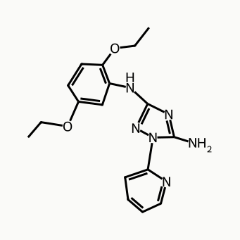 CCOc1ccc(OCC)c(Nc2nc(N)n(-c3ccccn3)n2)c1